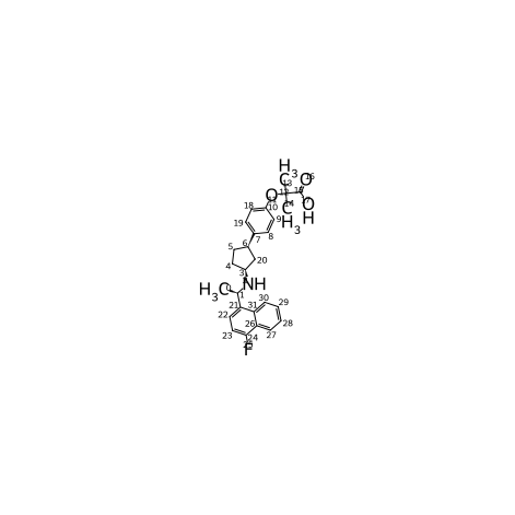 C[C@@H](N[C@H]1CC[C@@H](c2ccc(OC(C)(C)C(=O)O)cc2)C1)c1ccc(F)c2ccccc12